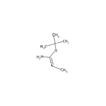 CC=C(N)OC(C)(C)C